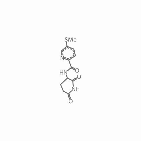 CSc1ccc(C(=O)NC2CCC(=O)NC2=O)nc1